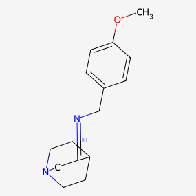 COc1ccc(C/N=C2/CN3CCC2CC3)cc1